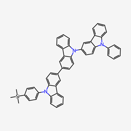 C[Si](C)(C)c1ccc(-n2c3ccccc3c3cc(-c4ccc5c(c4)c4ccccc4n5-c4ccc5c(c4)c4ccccc4n5-c4ccccc4)ccc32)cc1